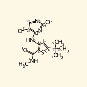 CNC(=O)c1sc(C(C)(C)C)cc1Nc1nc(Cl)ncc1Cl